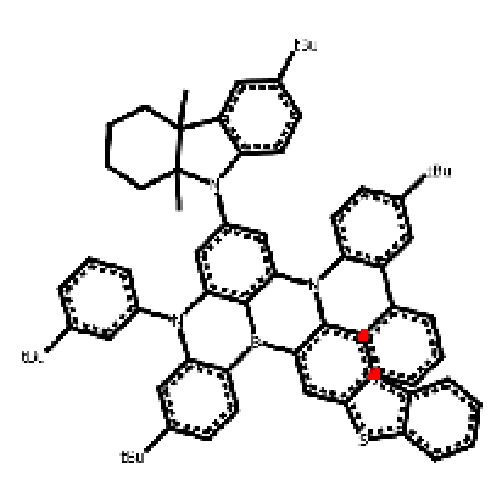 CC(C)(C)c1cccc(N2c3cc(C(C)(C)C)ccc3B3c4cc5sc6ccccc6c5cc4N(c4ccc(C(C)(C)C)cc4-c4ccccc4)c4cc(N5c6ccc(C(C)(C)C)cc6C6(C)CCCCC56C)cc2c43)c1